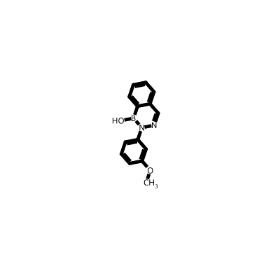 COc1cccc(N2N=Cc3ccccc3B2O)c1